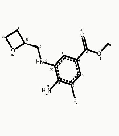 COC(=O)c1cc(Br)c(N)c(NC[C@@H]2CCO2)c1